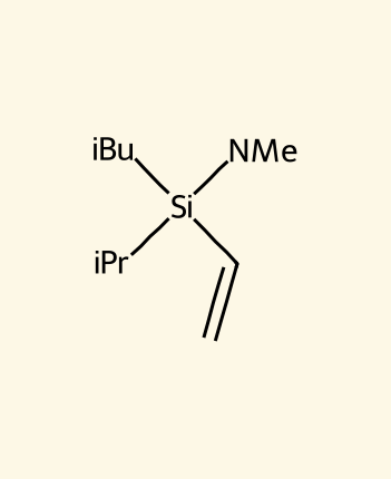 C=C[Si](NC)(C(C)C)C(C)CC